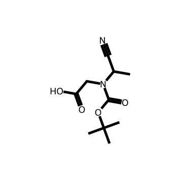 CC(C#N)N(CC(=O)O)C(=O)OC(C)(C)C